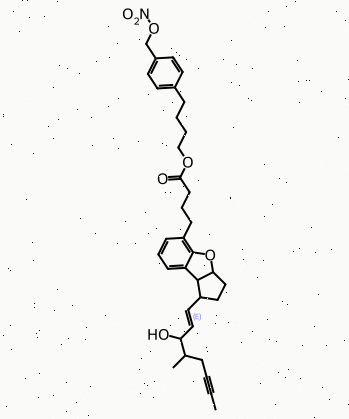 CC#CCC(C)C(O)/C=C/C1CCC2Oc3c(CCCC(=O)OCCCCc4ccc(CO[N+](=O)[O-])cc4)cccc3C12